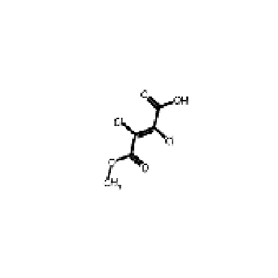 COC(=O)C(Cl)=C(Cl)C(=O)O